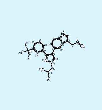 O=NCc1cnc2ccc(-c3cn(CC(F)F)nc3-c3cccc(C(F)(F)F)n3)cn12